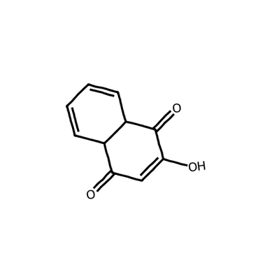 O=C1C=C(O)C(=O)C2C=CC=CC12